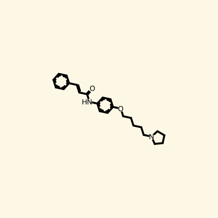 O=C(C=Cc1ccccc1)Nc1ccc(OCCCCCN2CCCC2)cc1